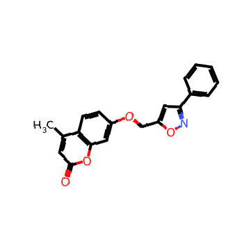 Cc1cc(=O)oc2cc(OCc3cc(-c4ccccc4)no3)ccc12